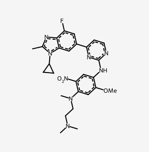 COc1cc(N(C)CCN(C)C)c([N+](=O)[O-])cc1Nc1nccc(-c2cc(F)c3nc(C)n(C4CC4)c3c2)n1